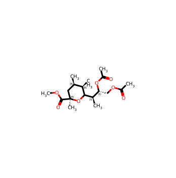 COC(=O)[C@@]1(C)C[C@@H](C)[C@@H](C)C([C@H](C)[C@@H](COC(C)=O)OC(C)=O)O1